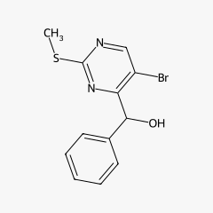 CSc1ncc(Br)c(C(O)c2ccccc2)n1